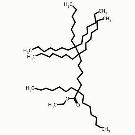 CCCCCCCC(CCCCCCC)(CCCCCC(CCCCCCC)(CCCCCCC)C(CCCCCCC)(CCCCCCC)CCCCCCC)C(=O)OCC